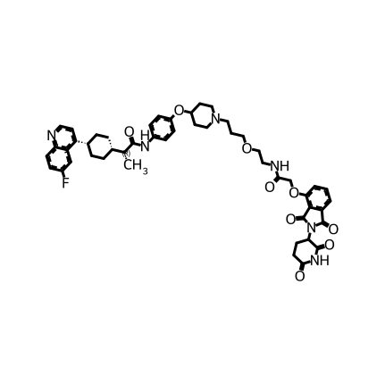 C[C@@H](C(=O)Nc1ccc(OC2CCN(CCCOCCNC(=O)COc3cccc4c3C(=O)N(C3CCC(=O)NC3=O)C4=O)CC2)cc1)[C@H]1CC[C@@H](c2ccnc3ccc(F)cc32)CC1